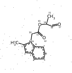 Cc1cc2ccccc2n1CC(=O)OC(C)C=O